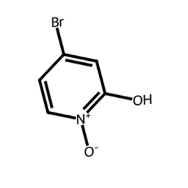 [O-][n+]1ccc(Br)cc1O